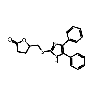 O=C1CCC(CSc2nc(-c3ccccc3)c(-c3ccccc3)[nH]2)O1